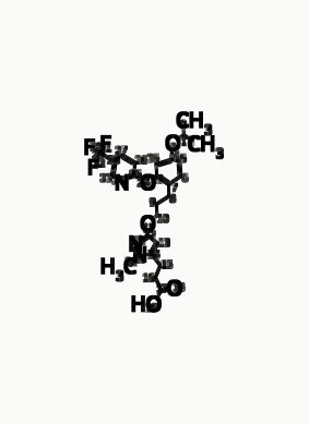 CC(C)Oc1ccc(CCCOc2cc(CCC(=O)O)n(C)n2)c(Oc2ccc(C(F)(F)F)cn2)c1